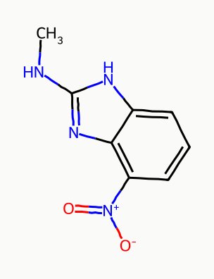 CNc1nc2c([N+](=O)[O-])cccc2[nH]1